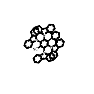 Cc1cccc(C)c1-c1c(-n2c3c(c4ccccc42)C=CCC3)c(-n2c3ccccc3c3ccccc32)c(C#N)c(-n2c3ccccc3c3ccccc32)c1-n1c2ccccc2c2ccccc21